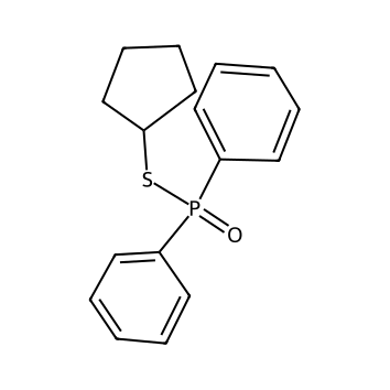 O=P(SC1CCCC1)(c1ccccc1)c1ccccc1